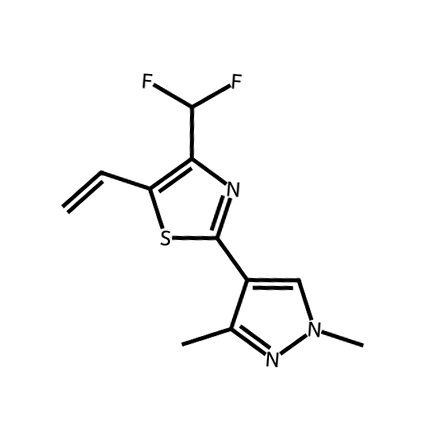 C=Cc1sc(-c2cn(C)nc2C)nc1C(F)F